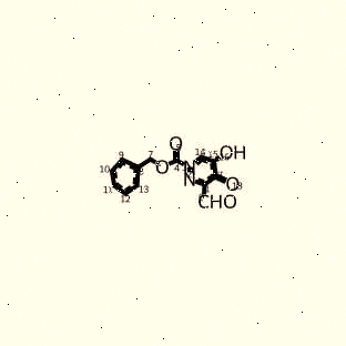 O=Cc1nn(C(=O)OCc2ccccc2)cc(O)c1=O